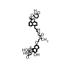 CN(CCOc1ccc2cc(O)c(N3CC(=O)NS3(O)O)c(F)c2c1)C(=O)CNCCCc1ccc2c3c(cccc13)C(=O)N2C1CCC(=O)NC1=O